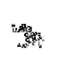 CC(=O)OC[C@H]1O[C@@H](Oc2ccccc2O[Si](C)(C)C(C)(C)C)[C@H](OC(C)=O)[C@@H](OC(C)=O)[C@H]1C